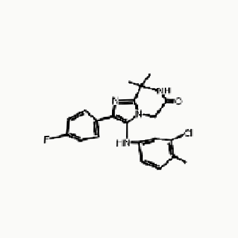 Cc1ccc(Nc2c(-c3ccc(F)cc3)nc3n2CC(=O)NC3(C)C)cc1Cl